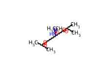 CCCCCC(CCCCC)CC(=O)OCCCCCCCCCC(CCCCCCCOC(=O)CC(CCCCC)CCCCC)NC(=O)CN(C)CC